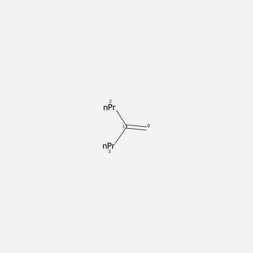 C=C(CCC)CCC